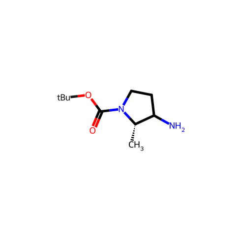 C[C@H]1C(N)CCN1C(=O)OC(C)(C)C